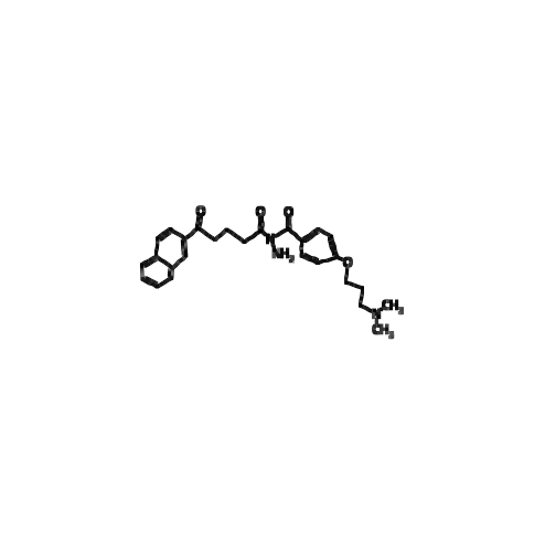 CN(C)CCCOc1ccc(C(=O)N(N)C(=O)CCCC(=O)c2ccc3ccccc3c2)cc1